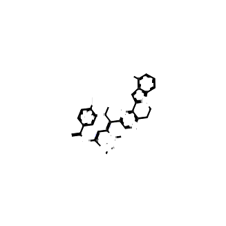 C=C(O/C(C)=C/C(=C(/c1cnc2c(n1)-c1cc3c(F)cccc3n1CC2)C(C)OC)N(C)S(C)(=O)=O)c1ccc(F)cc1